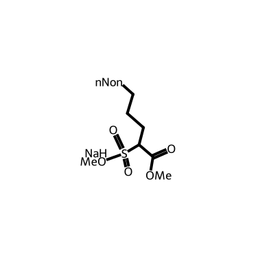 CCCCCCCCCCCCC(C(=O)OC)S(=O)(=O)OC.[NaH]